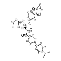 CC(C)c1ccc(-c2ccc(C(=O)C(=O)N[C@@H](Cc3ccc(OC4CC4)c(Cl)c3)CN3CCCC3)cc2)cc1